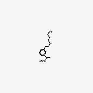 [CH]=C(OC)c1cc[c]c(CCC(C)CCCC(C)C)c1